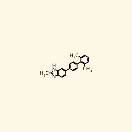 Cc1nc2ccc(-c3ccc(-c4c(C)cccc4C)cc3)cc2[nH]1